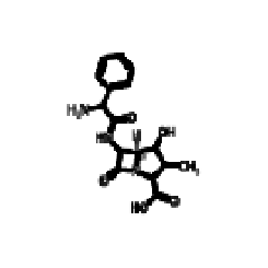 CC1C(O)[C@@H]2C(NC(=O)C(N)c3ccccc3)C(=O)N2C1C(=O)O